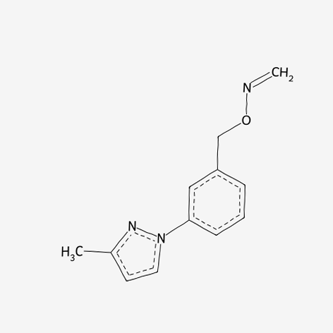 C=NOCc1cccc(-n2ccc(C)n2)c1